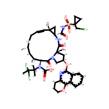 C[C@@H]1CCC=C[C@@H]2C[C@@]2(C(=O)NS(=O)(=O)C2(CF)CC2)NC(=O)[C@@H]2C[C@@H](Oc3nc4c(c5ccccc35)OCCC4)CN2C(=O)[C@@H](N(C(=O)O)C(C)(C)C(C)(F)F)[C@H](C)C1